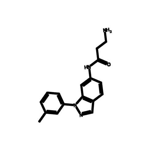 Cc1cccc(-n2ncc3ccc(NC(=O)CCN)cc32)c1